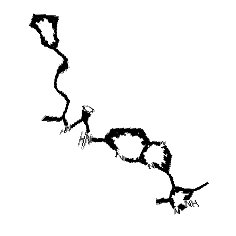 Cc1n[nH]c(C)c1-c1cnc2ccc(NC(=O)NC(C)CCCc3ccccc3)nc2n1